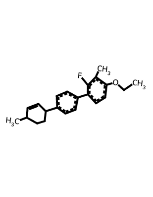 CCOc1ccc(-c2ccc(C3C=CC(C)CC3)cc2)c(F)c1C